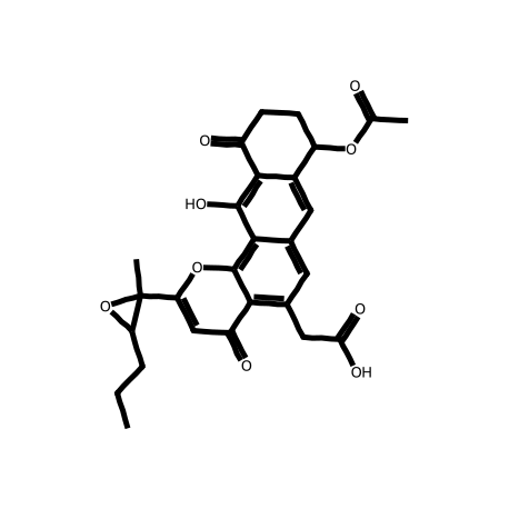 CCCC1OC1(C)c1cc(=O)c2c(CC(=O)O)cc3cc4c(c(O)c3c2o1)C(=O)CCC4OC(C)=O